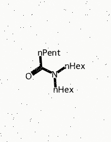 CCCCCCN(CCCCCC)C(=O)CCCCC